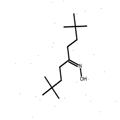 CC(C)(C)CCC(CCC(C)(C)C)=NO